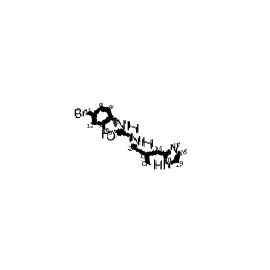 CC(CNC(=O)Nc1ccc(Br)cc1F)Cc1ncc[nH]1